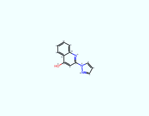 Oc1cc(-n2cccn2)nc2ccccc12